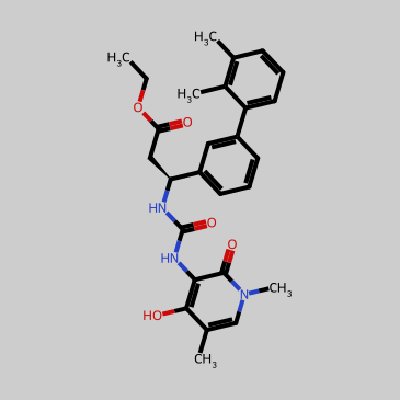 CCOC(=O)C[C@H](NC(=O)Nc1c(O)c(C)cn(C)c1=O)c1cccc(-c2cccc(C)c2C)c1